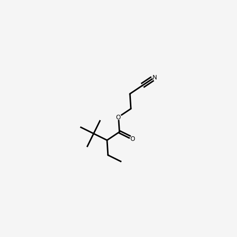 CCC(C(=O)OCCC#N)C(C)(C)C